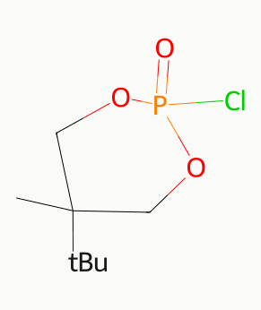 CC(C)(C)C1(C)COP(=O)(Cl)OC1